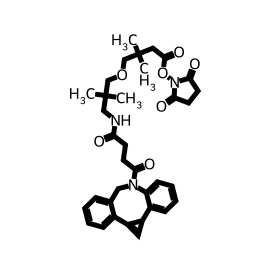 CC(C)(CNC(=O)CCC(=O)N1Cc2ccccc2C2=CC2c2ccccc21)COCC(C)(C)CC(=O)ON1C(=O)CCC1=O